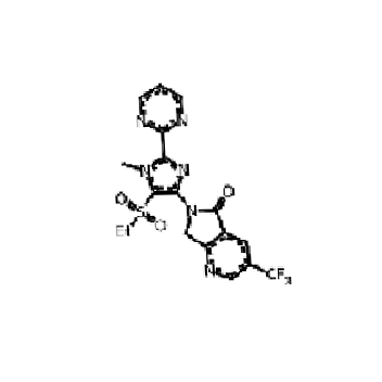 CCS(=O)(=O)c1c(N2Cc3ncc(C(F)(F)F)cc3C2=O)nc(-c2ncccn2)n1C